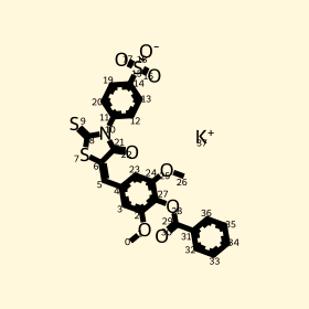 COc1cc(C=C2SC(=S)N(c3ccc(S(=O)(=O)[O-])cc3)C2=O)cc(OC)c1OC(=O)c1ccccc1.[K+]